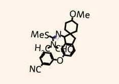 COC1CCC2(CC1)Cc1ccc(Oc3cccc(C#N)c3)cc1C2/N=C(/SC)N(C)C=O